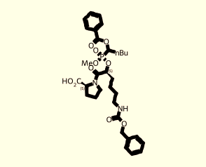 CCCCC(OC(=O)c1ccccc1)P(=O)(OC)O[C@@H](CCCCNC(=O)OCc1ccccc1)C(=O)N1CCC[C@H]1C(=O)O